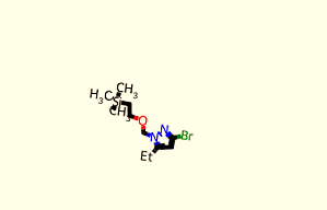 CCc1cc(Br)nn1COCC[Si](C)(C)C